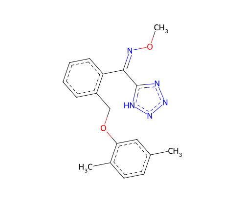 CON=C(c1nnn[nH]1)c1ccccc1COc1cc(C)ccc1C